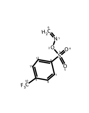 C=NOS(=O)(=O)c1ccc(C(F)(F)F)cc1